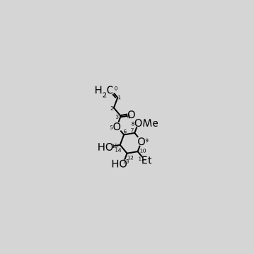 C=CCC(=O)OC1C(OC)OC(CC)C(O)C1O